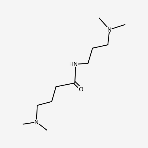 CN(C)CCCNC(=O)CCCN(C)C